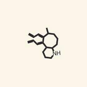 C=C/C=C1\C(=C/C=C)C2CCCNC2CCCC1C